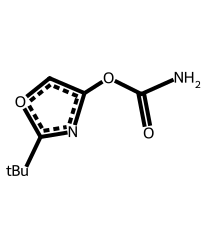 CC(C)(C)c1nc(OC(N)=O)co1